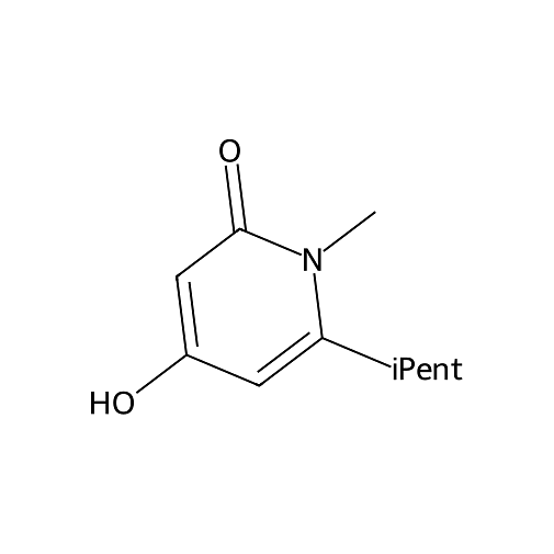 CCCC(C)c1cc(O)cc(=O)n1C